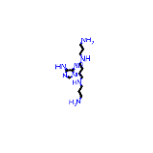 N=C1N=CNC1=N.NCCCNCCCCNCCCN